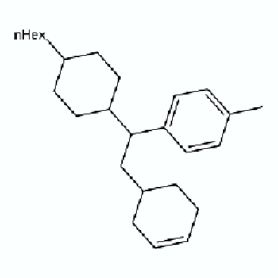 CCCCCCC1CCC(C(CC2CC=CCC2)c2ccc(C)cc2)CC1